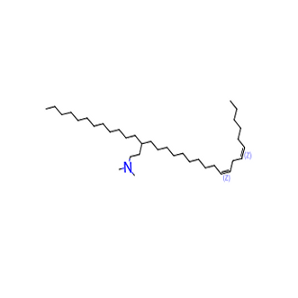 CCCCC/C=C\C/C=C\CCCCCCCCCC(CCCCCCCCCCCC)CCN(C)C